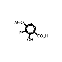 COc1ccc(C(=O)O)c(O)c1F